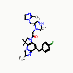 C[C@@H]1CN(CC(=O)N2CC(C)(C)c3c2cc(Cc2ccc(F)cc2)c2nc(C(F)(F)F)cn32)[C@H](Cn2ccnc2C(F)(F)F)CN1